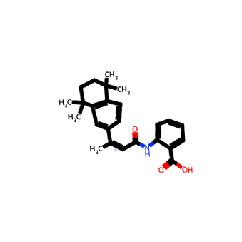 C/C(=C/C(=O)Nc1ccccc1C(=O)O)c1ccc2c(c1)C(C)(C)CCC2(C)C